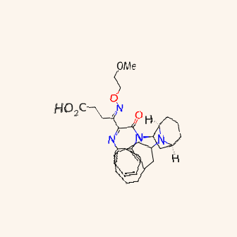 COCCO/N=C(\CCC(=O)O)c1nc2ccccc2n([C@@H]2C[C@@H]3CCC[C@H]2N3C2CC3CCCCC(C3)C2)c1=O